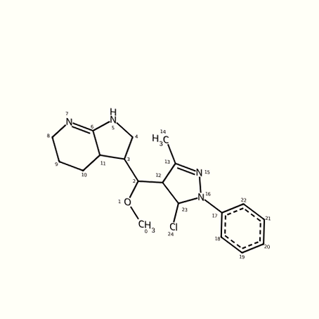 COC(C1CNC2=NCCCC21)C1C(C)=NN(c2ccccc2)C1Cl